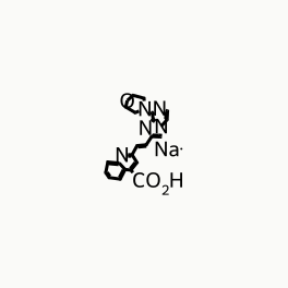 O=C(O)c1cc(C=Cc2cn3ccnc(N4CCOCC4)c3n2)nc2ccccc12.[Na]